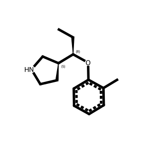 CC[C@@H](Oc1ccccc1C)[C@H]1CCNC1